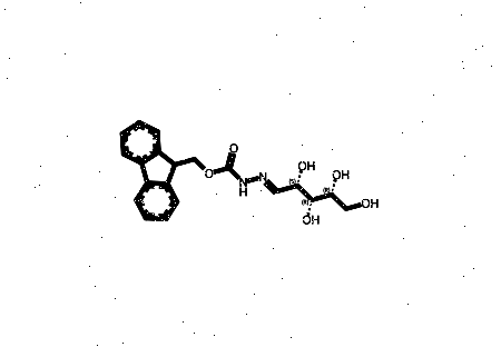 O=C(NN=C[C@H](O)[C@@H](O)[C@H](O)CO)OCC1c2ccccc2-c2ccccc21